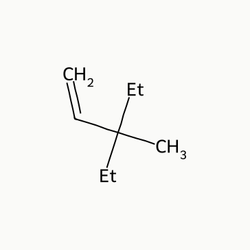 [CH2]CC(C)(C=C)CC